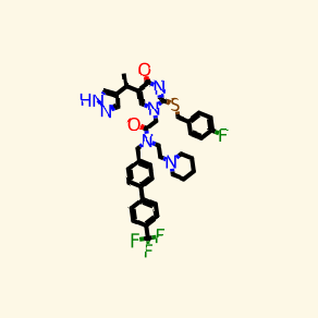 CC(c1cn[nH]c1)c1cn(CC(=O)N(CCN2CCCCC2)Cc2ccc(-c3ccc(C(F)(F)F)cc3)cc2)c(SCc2ccc(F)cc2)nc1=O